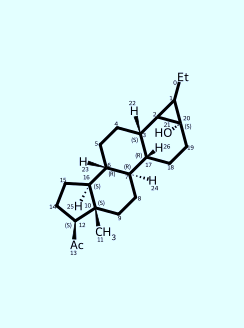 CCC1C2[C@H]3CC[C@@H]4[C@H](CC[C@]5(C)[C@@H](C(C)=O)CC[C@@H]45)[C@H]3CC[C@]12O